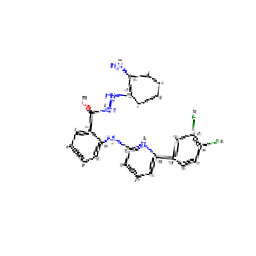 N[C@H]1CCCC[C@H]1NNC(=O)c1ccccc1Nc1cccc(-c2ccc(F)c(F)c2)n1